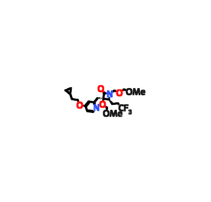 COCOCN1C(=O)[C@](Cc2cc(OCCC3CC3)ccn2)(OCOC)[C@@H]1CCC(F)(F)F